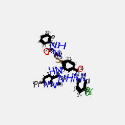 CC(C)c1ccc2c(Nc3cc(C(=O)Nc4ccc(Br)cn4)ccc3S[N]C(=O)Nc3ccccc3)ncnc2n1